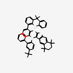 Cc1cc2c3c(c1)N(c1ccc(C(C)(C)C)cc1-c1ccccc1)c1c(oc4cc5c(cc14)C(C)(C)CCC5(C)C)B3N1c3ccccc3C(C)(C)c3cccc-2c31